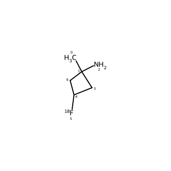 CC1(N)CC([18F])C1